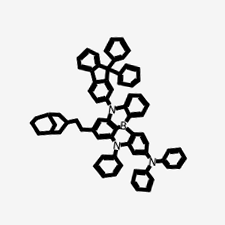 c1ccc(N(c2ccccc2)c2ccc3c(c2)N(c2ccccc2)c2cc(CCC4CC5CCCC(C5)C4)cc4c2B3c2ccccc2N4c2ccc3c(c2)C(c2ccccc2)(c2ccccc2)c2ccccc2-3)cc1